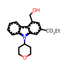 CCOC(=O)c1cc(CO)c2c3ccccc3n(C3CCOCC3)c2c1